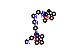 c1ccc(-c2cc(-c3cccc4c3C3(c5ccccc5Oc5ccccc53)c3ccccc3-4)nc(-c3cccc(-c4cccc(-c5ccc(-c6ccc(-c7cc(-c8ccc(-c9ccccn9)cc8)nc(-c8cccc9c8C8(c%10ccccc%10Oc%10ccccc%108)c8ccccc8-9)n7)cc6)nc5)n4)c3)n2)cc1